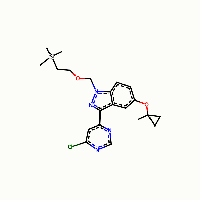 CC1(Oc2ccc3c(c2)c(-c2cc(Cl)ncn2)nn3COCC[Si](C)(C)C)CC1